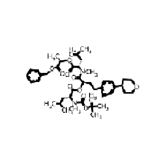 CC(C)C[C@@H](C(=O)O[C@H](CCc1ccc(C2CCOCC2)cc1)C(=O)N(C)[C@@H](CC(C)C)C(=O)O[C@H](C)C(=O)OCc1ccccc1)N(C)C(=O)OC(C)(C)C